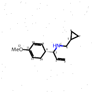 C=CC(NCC1CC1)[C@H]1C=CC(OC)=CC1